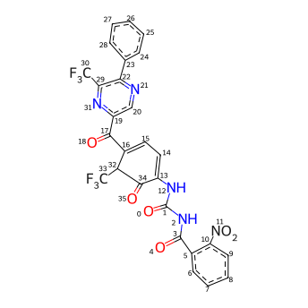 O=C(NC(=O)c1ccccc1[N+](=O)[O-])NC1=CC=C(C(=O)c2cnc(-c3ccccc3)c(C(F)(F)F)n2)C(C(F)(F)F)C1=O